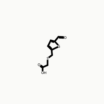 O=Cc1ccc(CSCC(=O)O)s1